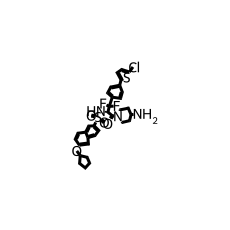 NC1CCN(C(=O)[C@@H](NS(=O)(=O)c2ccc3cc(OC4CCCC4)ccc3c2)C(F)(F)c2ccc(-c3ccc(Cl)s3)cc2)CC1